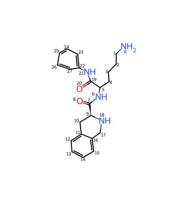 NCCCCC(NC(=O)[C@@H]1Cc2ccccc2CN1)C(=O)Nc1ccccc1